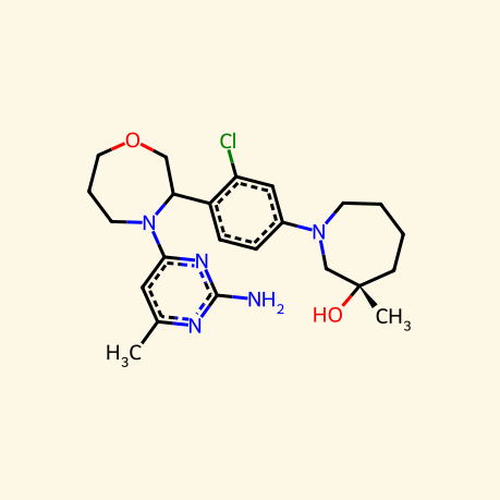 Cc1cc(N2CCCOCC2c2ccc(N3CCCC[C@](C)(O)C3)cc2Cl)nc(N)n1